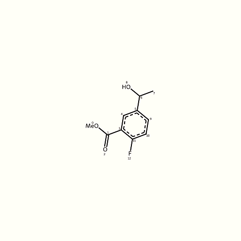 COC(=O)c1cc(C(C)O)ccc1F